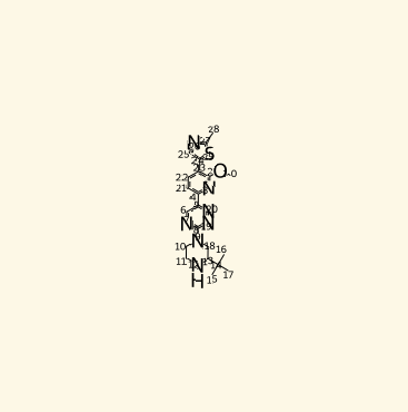 COc1nc(-c2cnc(N3CCNC(C(C)(C)C)C3)nn2)ccc1-c1cnc(C)s1